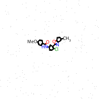 COc1ccc(C(=O)Nc2ccc(Cl)c(-c3nc4cc(C)ccc4o3)c2)cc1